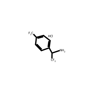 Cl.NC(c1ccc(C(F)(F)F)cc1)C(F)(F)F